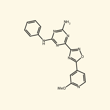 COc1cc(-c2nc(-c3nc(N)nc(Nc4ccccc4)n3)no2)ccn1